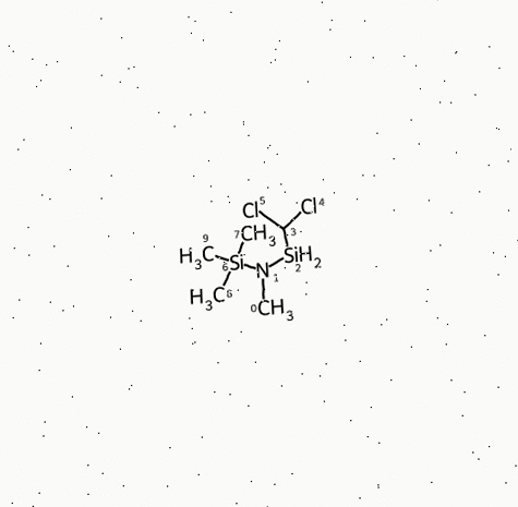 CN([SiH2]C(Cl)Cl)[Si](C)(C)C